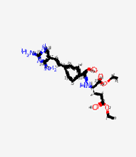 CCOC(=O)CC[C@H](NC(=O)c1ccc(C=Cc2cnc(N)nc2N)cc1)C(=O)OCC